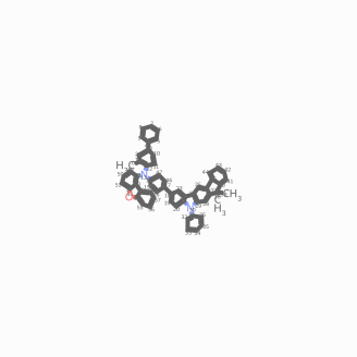 Cc1cc(-c2ccccc2)ccc1N(c1ccc(-c2ccc3c(c2)c2cc4c(cc2n3-c2ccccc2)C(C)(C)c2ccccc2-4)cc1)c1cccc2oc3ccccc3c12